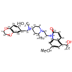 CCC(O)c1cc(OC)cc2c1ccc(=O)n2CCN1CCC(N(Cc2ccc3c(c2)OCCO3)C(=O)O)CC1C(C)(C)C